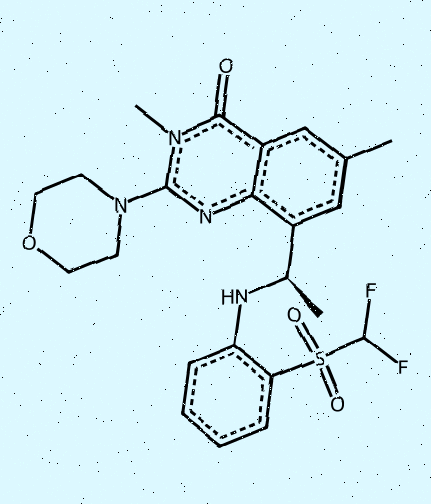 Cc1cc([C@@H](C)Nc2ccccc2S(=O)(=O)C(F)F)c2nc(N3CCOCC3)n(C)c(=O)c2c1